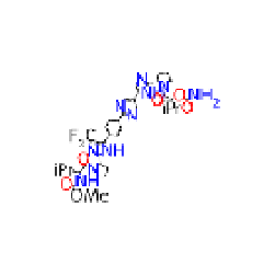 COC(=O)N[C@H](C(=O)N1CCCC1c1nc(C(F)(F)F)c(-c2ccc(-c3ncc(-c4cnc([C@@H]5CCCN5C(=O)[C@@H](OC(N)=O)C(C)C)[nH]4)cn3)cc2)[nH]1)C(C)C